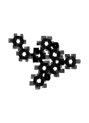 c1ccc(-c2cccc(-c3nc(-c4ccc5oc6ccccc6c5c4)nc(-c4cccc5oc6cc7c(cc6c45)c4ccccc4n7-c4ccccc4)n3)c2)cc1